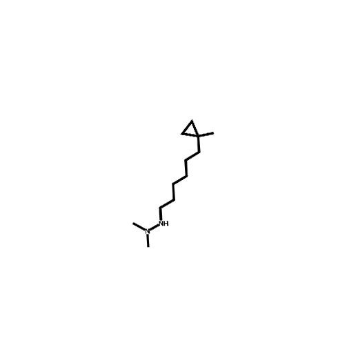 CN(C)NCCCCCCC1(C)CC1